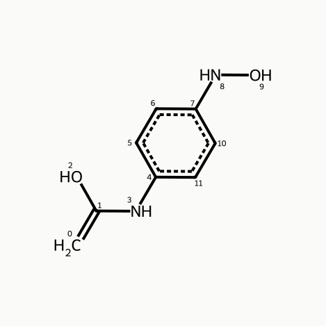 C=C(O)Nc1ccc(NO)cc1